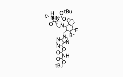 CC(C)(C)OC(=O)NC(=O)Oc1ncnc2c1ncn2Cc1c(Br)c(F)c2c(c1N1CC[C@](NC(=O)OC(C)(C)C)(C(=O)NC3CC3)C1)OCC2